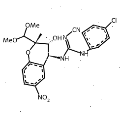 COC(OC)[C@@]1(C)Oc2ccc([N+](=O)[O-])cc2[C@H](NC(=NC#N)Nc2ccc(Cl)cc2)[C@H]1O